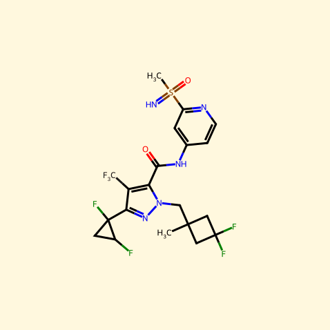 CC1(Cn2nc(C3(F)CC3F)c(C(F)(F)F)c2C(=O)Nc2ccnc(S(C)(=N)=O)c2)CC(F)(F)C1